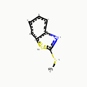 [Rh][S]c1nc2ccccc2s1